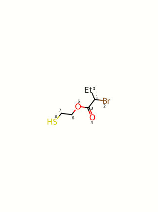 CCC(Br)C(=O)OCCS